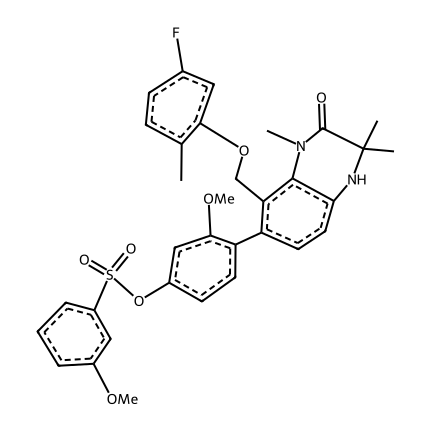 COc1cccc(S(=O)(=O)Oc2ccc(-c3ccc4c(c3COc3cc(F)ccc3C)N(C)C(=O)C(C)(C)N4)c(OC)c2)c1